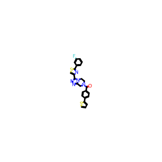 O=C(c1ccc(-c2cccs2)cc1)N1CCn2c(nnc2-c2csc(-c3cccc(F)c3)n2)C1